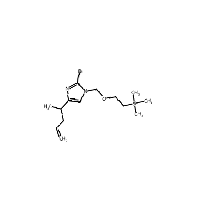 C=CCC(C)c1cn(COCC[Si](C)(C)C)c(Br)n1